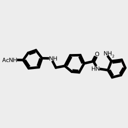 CC(=O)Nc1ccc(NCc2ccc(C(=O)Nc3ccccc3N)cc2)cc1